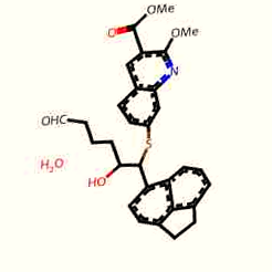 COC(=O)c1cc2ccc(SC(c3ccc4c5c(cccc35)CC4)C(O)CCCC=O)cc2nc1OC.O